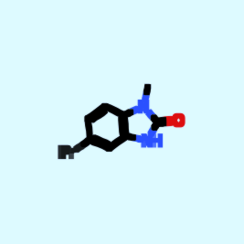 CC(C)c1ccc2c(c1)[nH]c(=O)n2C